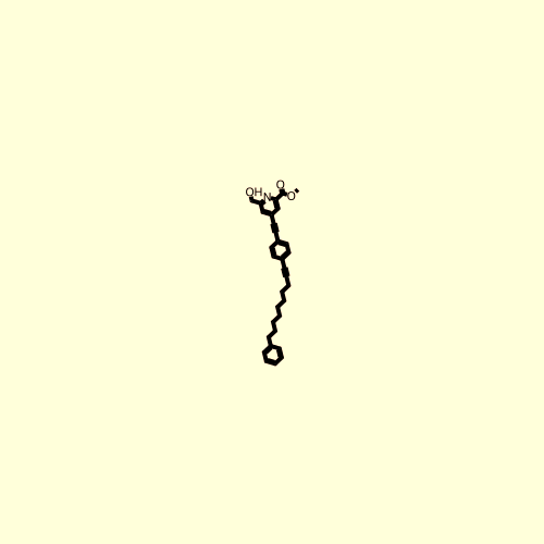 COC(=O)c1cc(C#Cc2ccc(C#CCCCCCCCCc3ccccc3)cc2)cc(CO)n1